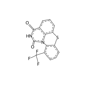 O=c1[nH]c(=O)n2c3c(cccc13)Sc1cccc(C(F)(F)F)c1-2